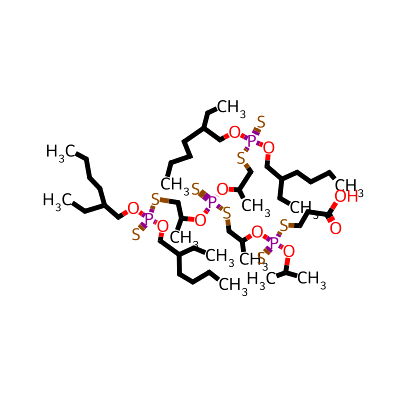 CCCCC(CC)COP(=S)(OCC(CC)CCCC)SCC(C)OP(=S)(OC(C)CSP(=S)(OCC(CC)CCCC)OCC(CC)CCCC)SCC(C)OP(=S)(OC(C)C)SCCC(=O)O